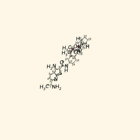 CC(N)c1ccc2c(N)c(C(=O)N[C@H]3CCc4cc(N5C[C@H]6CC[C@@H](C5)N6C(=O)OC(C)(C)C)ccc4C3)sc2n1